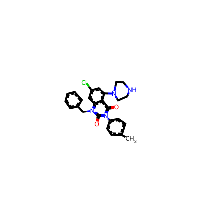 Cc1ccc(-n2c(=O)c3c(N4CCNCC4)cc(Cl)cc3n(Cc3ccccc3)c2=O)cc1